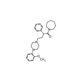 COc1ccccc1N1CCN(CCC(C(=O)N2CCCCCC2)c2ccccc2)CC1